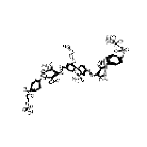 Cc1nn(-c2ccc(S(=O)(=O)CCOS(=O)(=O)O)cc2)c(O)c1/N=N/c1ccc(-c2ccc(/N=N/c3c(C)nn(-c4ccc(CS(=O)(=O)COS(=O)(=O)O)cc4)c3O)cc2S(=O)(=O)O)c(SOOO)c1